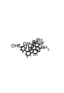 COc1nc(-c2cccc(-c3cccc(-c4c(C(N)=O)c(=O)n(C)c(=O)n4C)c3Cl)c2Cl)ccc1C=O